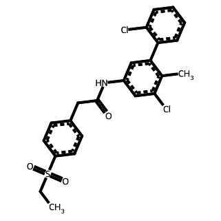 CCS(=O)(=O)c1ccc(CC(=O)Nc2cc(Cl)c(C)c(-c3ccccc3Cl)c2)cc1